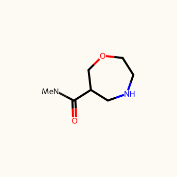 CNC(=O)C1CNCCOC1